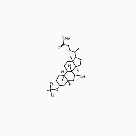 CCC(C)(CC)O[C@@H]1CC[C@@]2(C)[C@@H](C1)C[C@H](O)[C@@H]1[C@@H]2CC[C@]2(C)[C@@H]([C@H](C)CCC(=O)OC)CC[C@@H]12